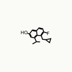 CC(C)c1cc(O)cc2ccc(F)c(CC3CC3)c12